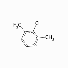 Cc1[c]ccc(C(F)(F)F)c1Cl